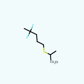 CCOC(=O)C(C)SCCCC(C)(F)F